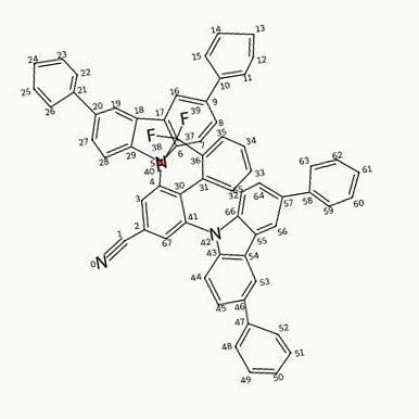 N#Cc1cc(-n2c3ccc(-c4ccccc4)cc3c3cc(-c4ccccc4)ccc32)c(-c2ccccc2C(F)(F)F)c(-n2c3ccc(-c4ccccc4)cc3c3cc(-c4ccccc4)ccc32)c1